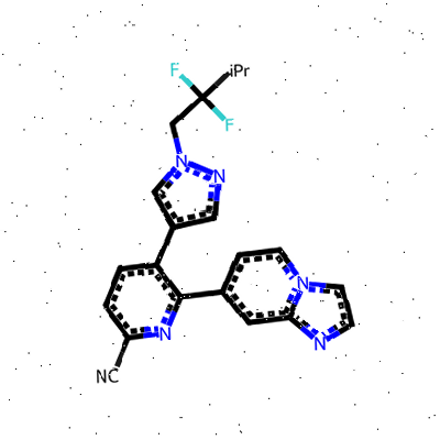 CC(C)C(F)(F)Cn1cc(-c2ccc(C#N)nc2-c2ccn3ccnc3c2)cn1